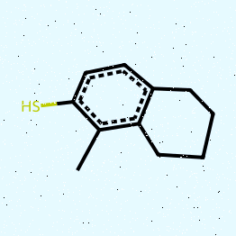 Cc1c(S)ccc2c1CCCC2